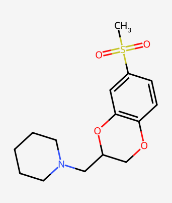 CS(=O)(=O)c1ccc2c(c1)OC(CN1CCCCC1)CO2